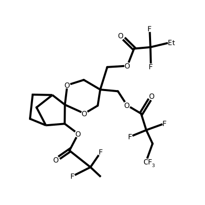 CCC(F)(F)C(=O)OCC1(COC(=O)C(F)(F)CC(F)(F)F)COC2(OC1)C1CCC(C1)C2OC(=O)C(C)(F)F